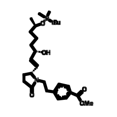 COC(=O)c1ccc(CCN2C(=O)CC[C@@H]2C=C[C@@H](O)CCC[C@@H](C)O[Si](C)(C)C(C)(C)C)cc1